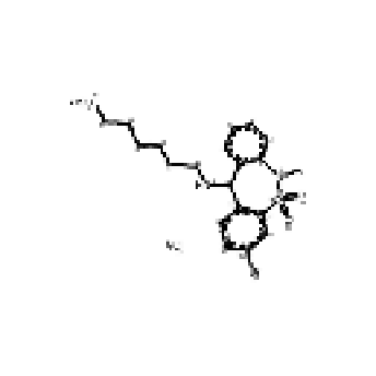 CN1c2ccccc2C(NCCCCCCC(=O)O)c2ccc(Br)cc2S1(=O)=O.Cl